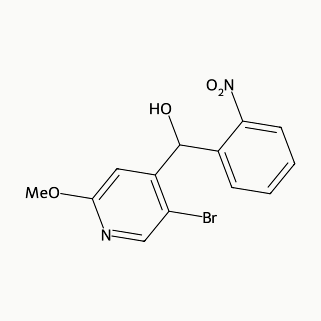 COc1cc(C(O)c2ccccc2[N+](=O)[O-])c(Br)cn1